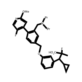 COc1cc(-c2ccc(COc3cccc(C(C4CC4)C(C)(F)C(=O)O)c3)cc2CN(C(C)C)C(C)C)c(F)cn1